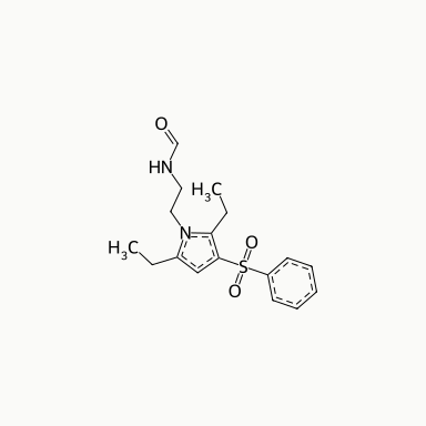 CCc1cc(S(=O)(=O)c2ccccc2)c(CC)n1CCNC=O